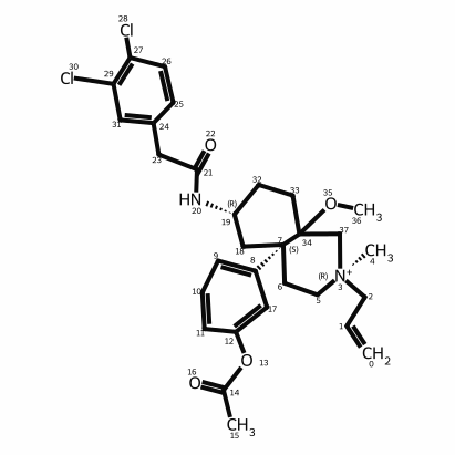 C=CC[N@@+]1(C)CC[C@@]2(c3cccc(OC(C)=O)c3)C[C@H](NC(=O)Cc3ccc(Cl)c(Cl)c3)CCC2(OC)C1